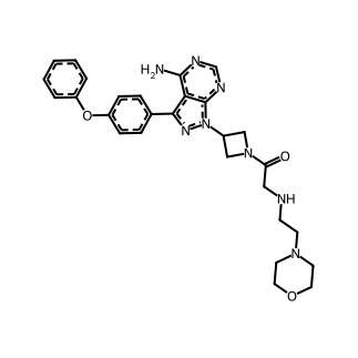 Nc1ncnc2c1c(-c1ccc(Oc3ccccc3)cc1)nn2C1CN(C(=O)CNCCN2CCOCC2)C1